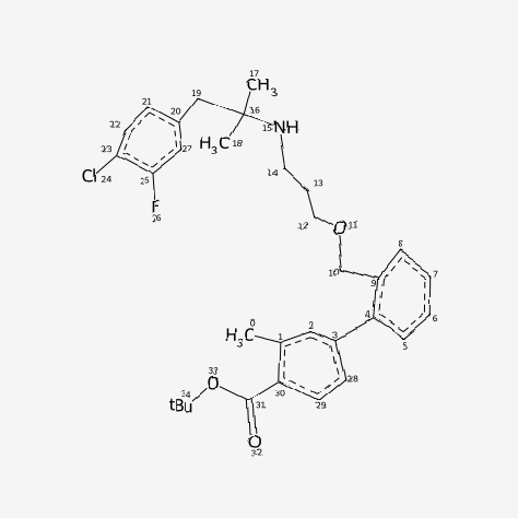 Cc1cc(-c2ccccc2COCCCNC(C)(C)Cc2ccc(Cl)c(F)c2)ccc1C(=O)OC(C)(C)C